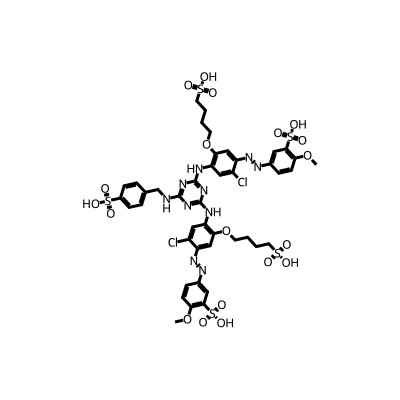 COc1ccc(N=Nc2cc(OCCCCS(=O)(=O)O)c(Nc3nc(NCc4ccc(S(=O)(=O)O)cc4)nc(Nc4cc(Cl)c(N=Nc5ccc(OC)c(S(=O)(=O)O)c5)cc4OCCCCS(=O)(=O)O)n3)cc2Cl)cc1S(=O)(=O)O